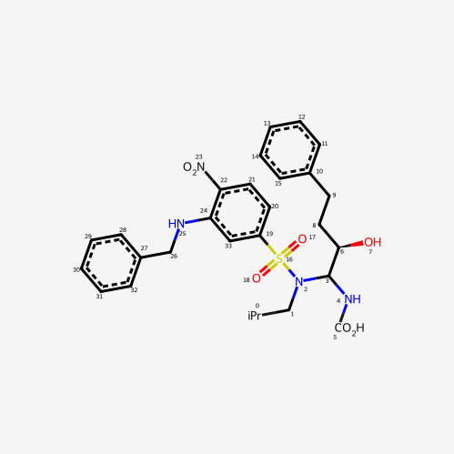 CC(C)CN(C(NC(=O)O)[C@H](O)CCc1ccccc1)S(=O)(=O)c1ccc([N+](=O)[O-])c(NCc2ccccc2)c1